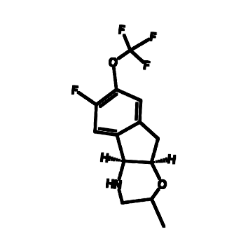 CC1CN[C@H]2c3cc(F)c(OC(F)(F)F)cc3C[C@H]2O1